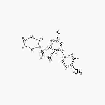 Cc1ccc(-c2nc(Cl)nc3c2ncn3C2CCOCC2)cn1